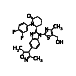 Cc1nc(-n2c([C@@H]3CCCC(=O)N3c3ccc(F)c(F)c3)nc3cc(-c4c(C)noc4C)ccc32)sc1CO